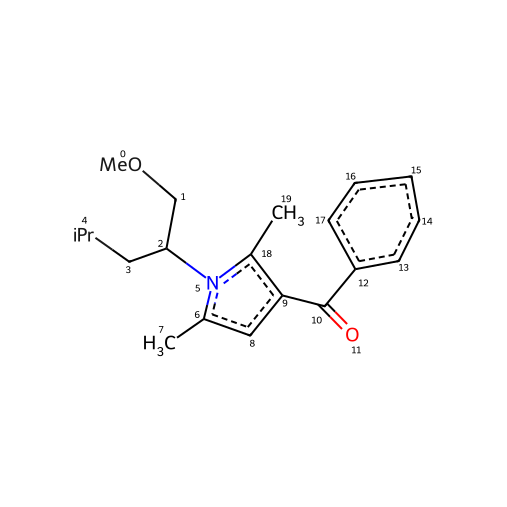 COCC(CC(C)C)n1c(C)cc(C(=O)c2ccccc2)c1C